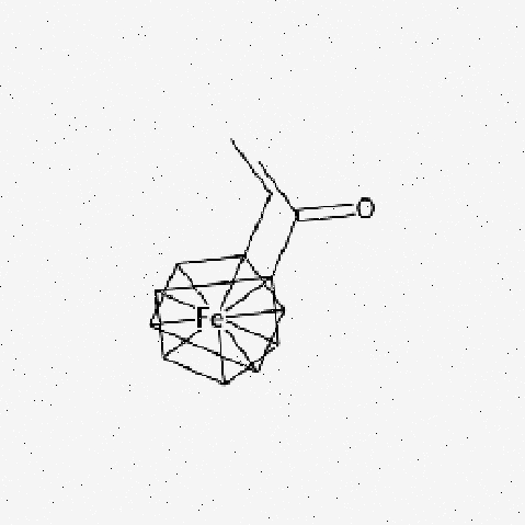 CC[C]12[CH]3[CH]4[CH]5[CH]1[Fe]45321678[CH]2[CH]1[CH]6[C]7(C(C)=O)[CH]28